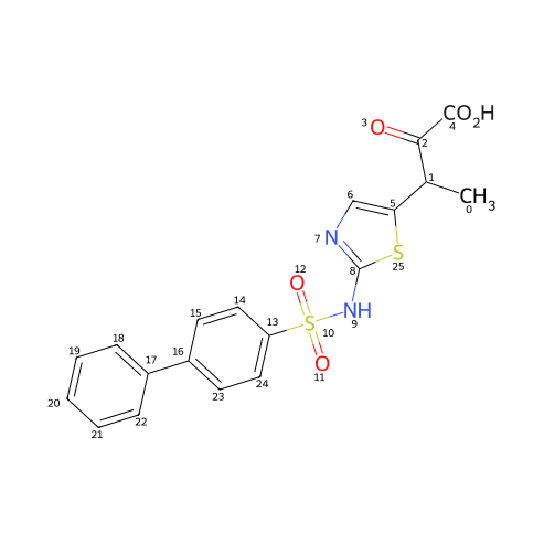 CC(C(=O)C(=O)O)c1cnc(NS(=O)(=O)c2ccc(-c3ccccc3)cc2)s1